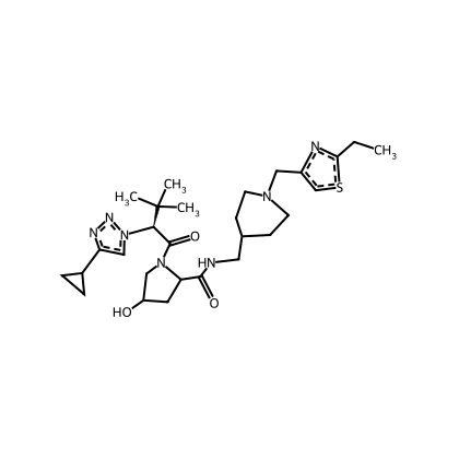 CCc1nc(CN2CCC(CNC(=O)C3CC(O)CN3C(=O)[C@@H](n3cc(C4CC4)nn3)C(C)(C)C)CC2)cs1